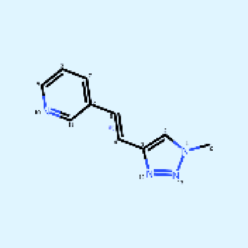 Cn1cc(/C=C/c2cccnc2)nn1